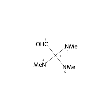 CNC([C]=O)(NC)NC